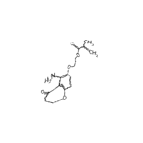 C=C(C)C(=O)OCCOc1ccc2c(c1N)C(=O)CCO2